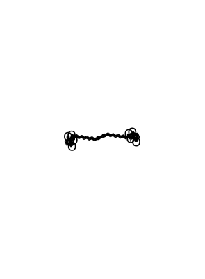 O=C(CCCCCCCCC#CC#CCCCCCCCCC(=O)ON1C(=O)CCC1=O)ON1C(=O)CCC1=O